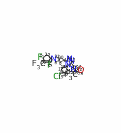 Fc1ccc(N2CC3(CC(c4nnc5n4-c4ccc(Cl)cc4CN(C4(C(F)(F)F)COC4)C5)C3)C2)c(F)c1C(F)(F)F